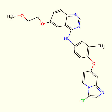 COCCOc1ccc2ncnc(Nc3ccc(Oc4ccn5c(Cl)cnc5c4)c(C)c3)c2c1